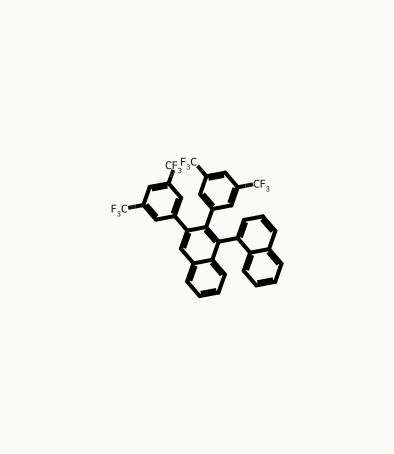 FC(F)(F)c1cc(-c2cc3ccccc3c(-c3cccc4ccccc34)c2-c2cc(C(F)(F)F)cc(C(F)(F)F)c2)cc(C(F)(F)F)c1